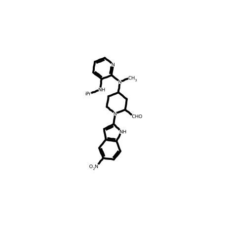 CC(C)Nc1cccnc1N(C)C1CCN(c2cc3cc([N+](=O)[O-])ccc3[nH]2)C(C=O)C1